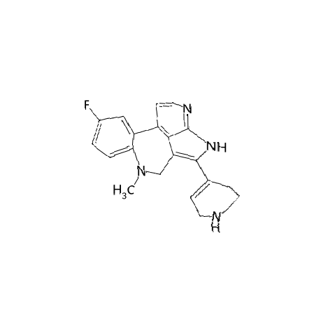 CN1Cc2c(C3=CCNCC3)[nH]c3nccc(c23)-c2cc(F)ccc21